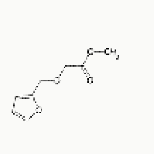 COC(=O)COCc1ccco1